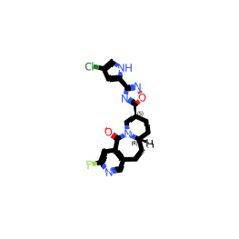 O=C1c2cc(F)ncc2CC[C@H]2CC[C@H](c3nc(-c4cc(Cl)c[nH]4)no3)CN12